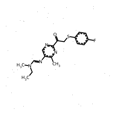 CCN(C)C=Nc1cnc(C(=O)CSc2ccc(F)cc2)nc1C